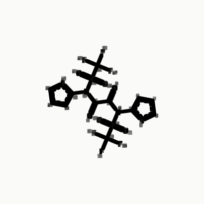 O=C(C(=O)N(c1cccs1)S(=O)(=O)C(F)(F)F)N(c1cccs1)S(=O)(=O)C(F)(F)F